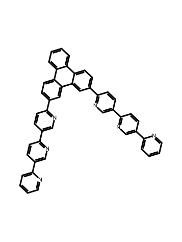 c1ccc(-c2ccc(-c3ccc(-c4ccc5c6ccccc6c6ccc(-c7ccc(-c8ccc(-c9ccccn9)cn8)cn7)cc6c5c4)nc3)nc2)nc1